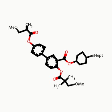 C=C(COC)C(=O)Oc1ccc(-c2ccc(OC(=O)C(C)(C)COC)c(C(=O)OC3CCC(CCCCCCC)CC3)c2)cc1